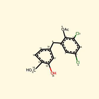 CC(=O)Oc1c(Cl)cc(Cl)cc1Cc1ccc(C(=O)O)c(O)c1